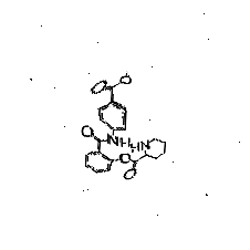 COC(=O)c1ccc(NC(=O)c2ccccc2OC(=O)C2CCCCN2)cc1